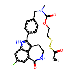 CN(Cc1ccc(-c2[nH]c3cc(F)cc4c3c2CCNC4=O)cc1)C(=O)OCCSSC(=O)C(C)(C)C